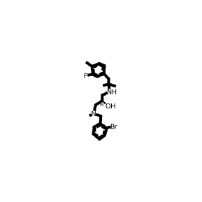 Cc1ccc(CC(C)(C)NC[C@@H](O)CN(C)Cc2ccccc2Br)cc1F